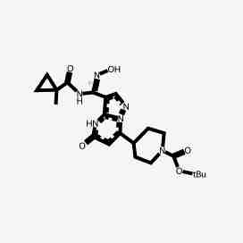 CC(C)(C)OC(=O)N1CCC(c2cc(=O)[nH]c3c(/C(=N\O)NC(=O)C4(C)CC4)cnn23)CC1